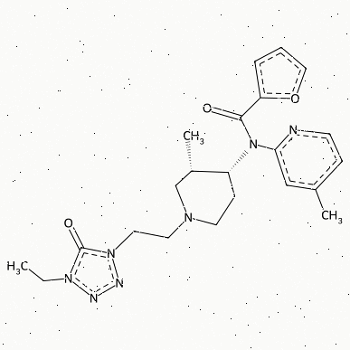 CCn1nnn(CCN2CC[C@@H](N(C(=O)c3ccco3)c3cc(C)ccn3)[C@@H](C)C2)c1=O